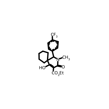 CCOC(=O)C1=C(O)C2(CCCCC2)C(c2ccc(C(F)(F)F)cc2)N(C)C1=O